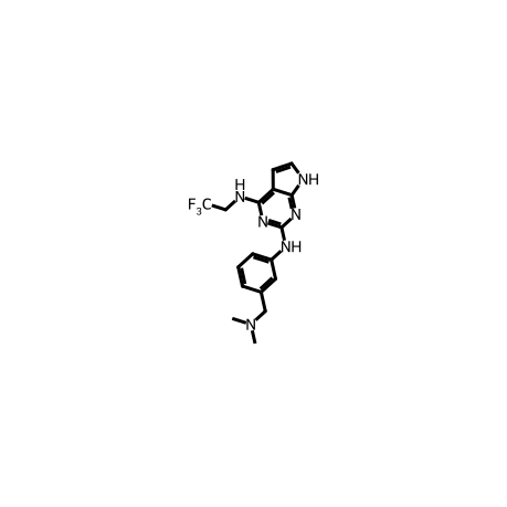 CN(C)Cc1cccc(Nc2nc(NCC(F)(F)F)c3cc[nH]c3n2)c1